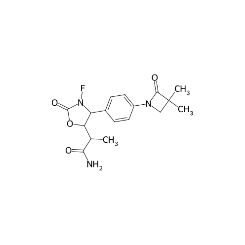 CC(C(N)=O)C1OC(=O)N(F)C1c1ccc(N2CC(C)(C)C2=O)cc1